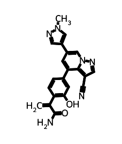 C=C(C(N)=O)c1ccc(-c2cc(-c3cnn(C)c3)cn3ncc(C#N)c23)cc1O